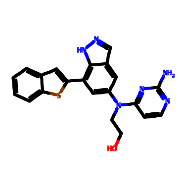 Nc1nccc(N(CCO)c2cc(-c3cc4ccccc4s3)c3[nH]ncc3c2)n1